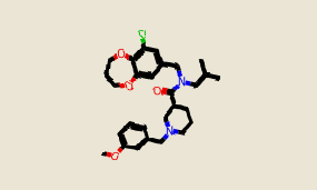 COc1cccc(CN2CCCC(C(=O)N(Cc3cc(Cl)c4c(c3)OCCCO4)CC(C)C)C2)c1